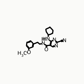 COc1cccc(CCNC(=O)c2cnc(C#N)nc2NC2CCCCC2)c1